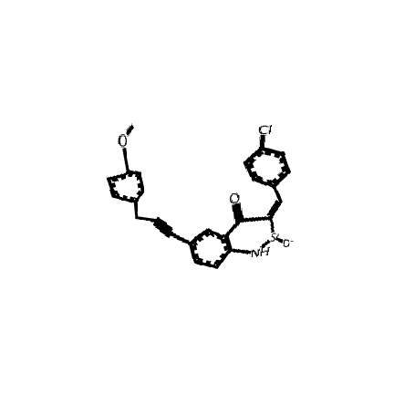 COc1ccc(CC#Cc2ccc3c(c2)C(=O)/C(=C\c2ccc(Cl)cc2)[S+]([O-])N3)cc1